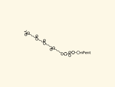 C=C(C)C(=O)OCCCCCC(=O)OCCCCC(=O)OCCCCCC(=O)OCCCCCCOc1ccc(C(=O)Oc2ccc(C3CCC(CCCCC)CC3)cc2)cc1